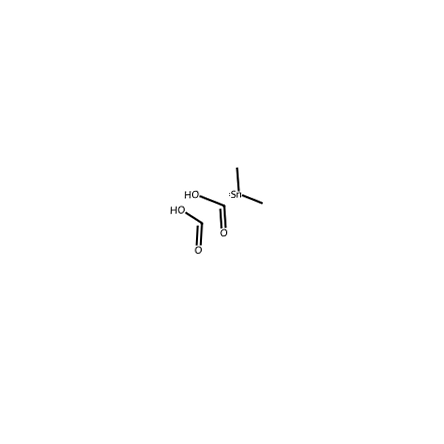 O=CO.O=CO.[CH3][Sn][CH3]